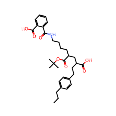 CCCc1ccc(CCC(CC(CCCCNC(=O)c2ccccc2C(=O)O)C(=O)OC(C)(C)C)C(=O)O)cc1